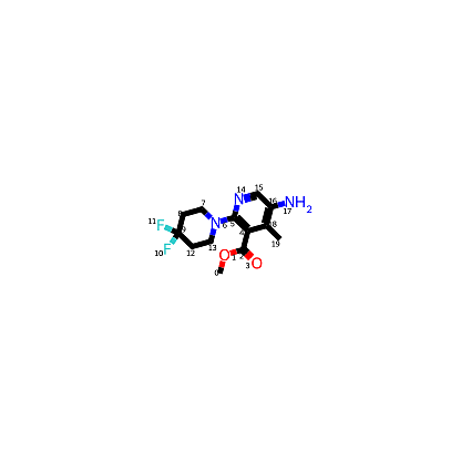 COC(=O)c1c(N2CCC(F)(F)CC2)ncc(N)c1C